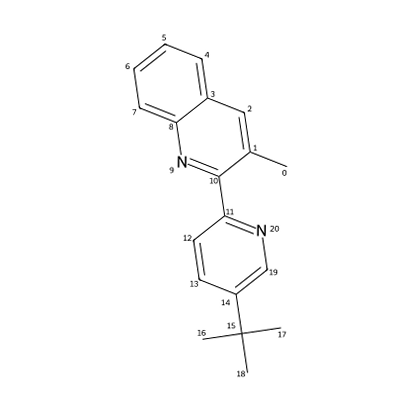 Cc1cc2ccccc2nc1-c1ccc(C(C)(C)C)cn1